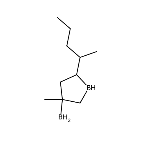 BC1(C)CBC(C(C)CCC)C1